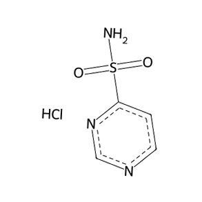 Cl.NS(=O)(=O)c1ccncn1